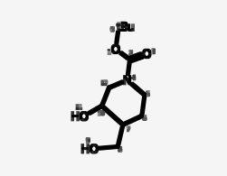 CC(C)(C)OC(=O)N1CCC(CO)C(O)C1